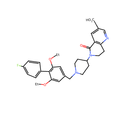 CCOc1cc(CN2CCC(N3CCc4ncc(C(=O)O)cc4C3=O)CC2)cc(OCC)c1-c1ccc(F)cc1